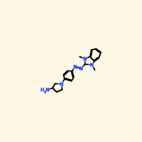 CN1c2ccccc2N(C)C1N=Nc1ccc(N2CCC(N)C2)cc1